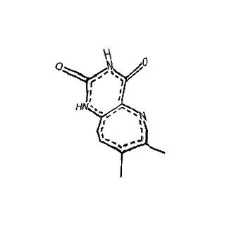 Cc1cc2[nH]c(=O)[nH]c(=O)c2nc1C